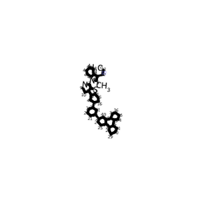 C/C=C\c1c(C)n(-c2nccc3c2sc2ccc(-c4cccc(-c5ccc6c7ccccc7c7ccccc7c6c5)c4)cc23)c2ccccc12